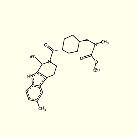 Cc1ccc2[nH]c3c(c2c1)CCN(C(=O)[C@H]1CC[C@H](CN(C)C(=O)OC(C)(C)C)CC1)C3C(C)C